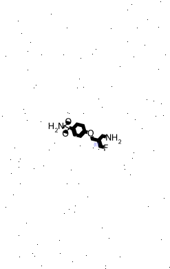 NC/C(=C\F)COC1=CC=C(S(N)(=O)=O)CC1